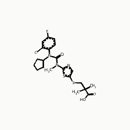 CN(C(=O)N(c1ccc(F)cc1Cl)C1CCCC1)c1ncc(SCC(C)(C)C(=O)O)s1